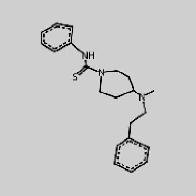 CN(CCc1ccccc1)C1CCN(C(=S)Nc2ccccc2)CC1